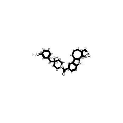 O=C(c1ccc2[nH]c3c(c2c1)CCCc1cn[nH]c1-3)N1CCC(O)(Cc2cccc(C(F)(F)F)c2)CC1